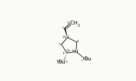 C=C[C@@H]1C[C@@H](C(C)(C)C)N(C(C)(C)C)C1